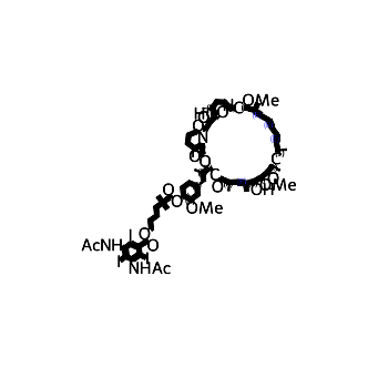 CO[C@H]1C[C@@H]2CC[C@@H](C)[C@@](O)(O2)C(=O)C(=O)N2CCCC[C@H]2C(=O)O[C@H]([C@H](C)C[C@@H]2CC[C@@H](OC(=O)C(C)(C)CCCCOC(=O)c3c(I)c(NC(C)=O)c(I)c(NC(C)=O)c3I)[C@H](OC)C2)CC(=O)[C@H](C)/C=C(\C)[C@@H](O)[C@@H](OC)C(=O)[C@H](C)C[C@H](C)/C=C/C=C/C=C/1C